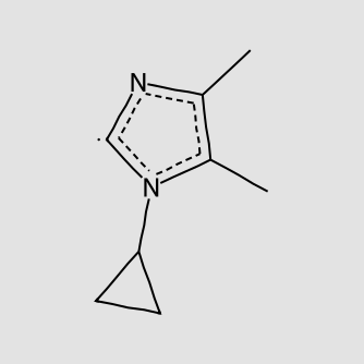 Cc1n[c]n(C2CC2)c1C